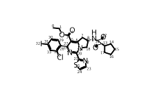 CCOC(=O)C1=C2C[C@H](NS(=O)(=O)C3CCCC3)CN2C(c2nccs2)=N[C@H]1c1ccc(I)cc1Cl